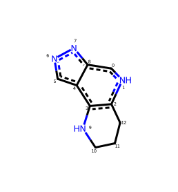 c1[nH]c2c(c3cnnc1-3)NCCC2